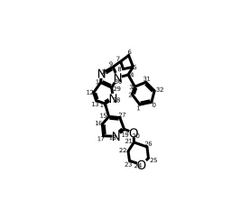 c1ccc(C2C3CC(C3)c3nc4ccc(-c5ccnc(OC6CCOCC6)c5)nc4n32)cc1